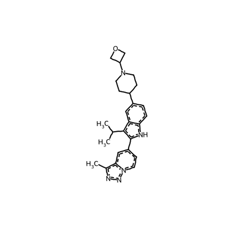 Cc1nnn2ccc(-c3[nH]c4ccc(C5CCN(C6COC6)CC5)cc4c3C(C)C)cc12